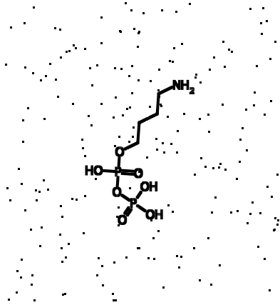 NCCCCOP(=O)(O)OP(=O)(O)O